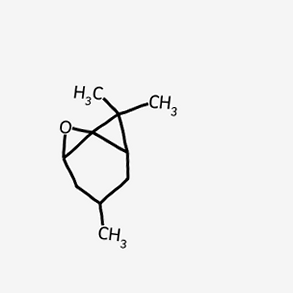 CC1CC2OC23C(C1)C3(C)C